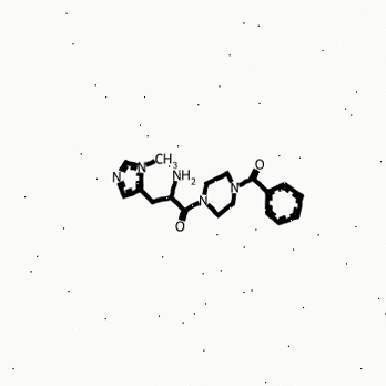 Cn1cncc1CC(N)C(=O)N1CCN(C(=O)c2ccccc2)CC1